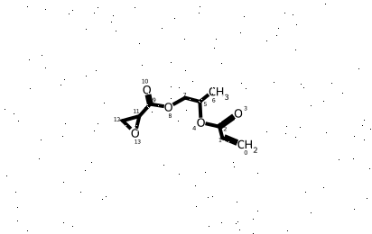 C=CC(=O)OC(C)COC(=O)C1CO1